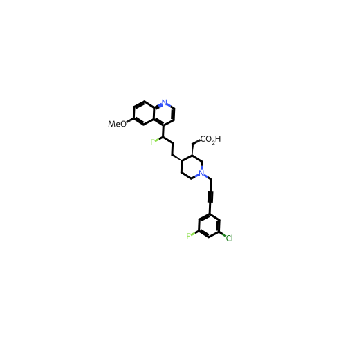 COc1ccc2nccc(C(F)CC[C@@H]3CCN(CC#Cc4cc(F)cc(Cl)c4)C[C@@H]3CC(=O)O)c2c1